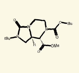 COC(=O)[C@@H]1[C@H]2CN(C(C)(C)C)C(=O)N2CCN1C(=O)OC(C)(C)C